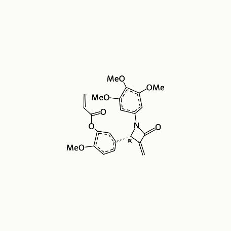 C=CC(=O)Oc1cc([C@H]2C(=C)C(=O)N2c2cc(OC)c(OC)c(OC)c2)ccc1OC